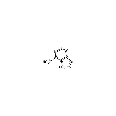 O=C(O)c1nccc2cc[nH]c12